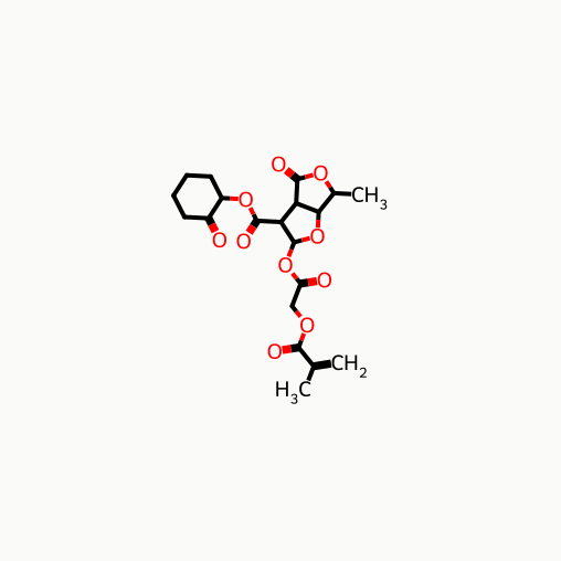 C=C(C)C(=O)OCC(=O)OC1OC2C(C)OC(=O)C2C1C(=O)OC1CCCCC1=O